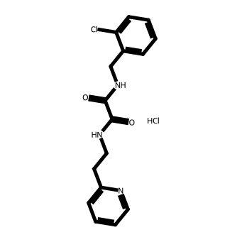 Cl.O=C(NCCc1ccccn1)C(=O)NCc1ccccc1Cl